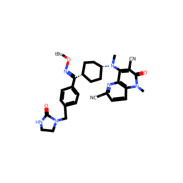 Cn1c(=O)c(C#N)c(N(C)[C@H]2CC[C@@H](/C(=N\OC(C)(C)C)c3ccc(CN4CCNC4=O)cc3)CC2)c2nc(C#N)ccc21